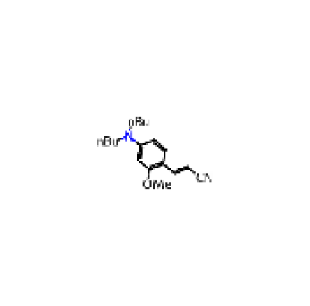 CCCCN(CCCC)c1ccc(/C=C/C#N)c(OC)c1